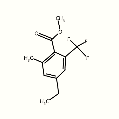 CCc1cc(C)c(C(=O)OC)c(C(F)(F)F)c1